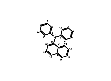 c1ccc(B(c2ccccc2)c2cccc3ccccc23)cc1